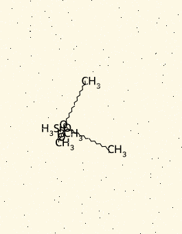 CCCCCCCCCCCCCCCCOC([SiH3])(OCCCCCCCCCCCCCCCC)C(C)OOCC